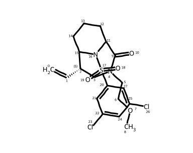 C=C[C@H]1CN(CCOC)C(=O)C2CCCC1N2S(=O)(=O)c1cc(Cl)cc(Cl)c1